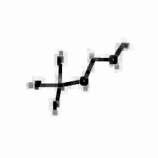 [CH2]OCOC(F)(F)F